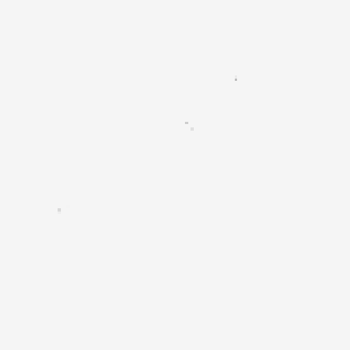 C1COC2=C(O1)SC(=C1SC3=C(OCCO3)S1)S2